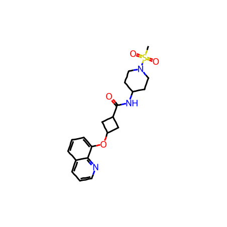 CS(=O)(=O)N1CCC(NC(=O)C2CC(Oc3cccc4cccnc34)C2)CC1